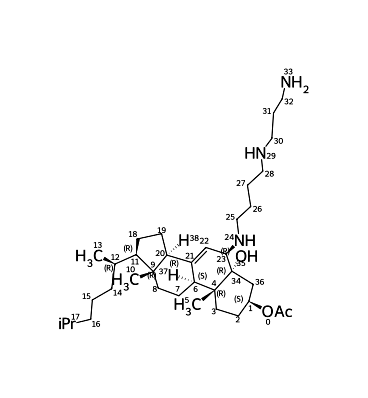 CC(=O)O[C@H]1CC[C@]2(C)[C@H]3CC[C@]4(C)[C@@H]([C@H](C)CCCC(C)C)CC[C@H]4C3=C[C@@H](NCCCCNCCCN)[C@@]2(O)C1